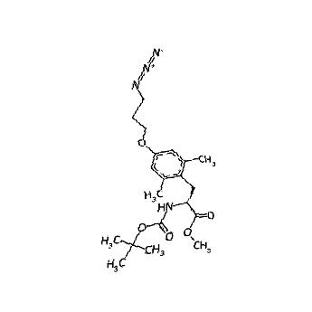 COC(=O)[C@H](Cc1c(C)cc(OCCCN=[N+]=[N-])cc1C)NC(=O)OC(C)(C)C